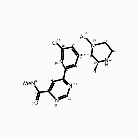 CNC(=O)c1cc(-c2cc([C@H]3[C@H](C)NCCN3C(C)=O)cc(Cl)n2)ncn1